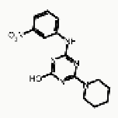 O=[N+]([O-])c1cccc(Nc2nc(O)nc(N3CCCCC3)n2)c1